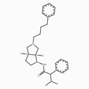 CC(C)C(C(=O)N[C@H]1CC[C@@H]2CN(CCCCc3ccccc3)C[C@@H]21)c1ccccc1